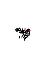 O=C(O)[C@H]1C2CCC(CC2)[C@@H]1Nc1cc(-c2ccc3ccccc3c2)nc(-c2c[nH]c3c(F)cc(F)cc23)n1